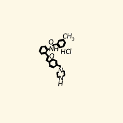 Cc1cccc(C(=O)Nc2ccccc2-c2cc3ccc(CN4CCNCC4)cc3o2)c1.Cl